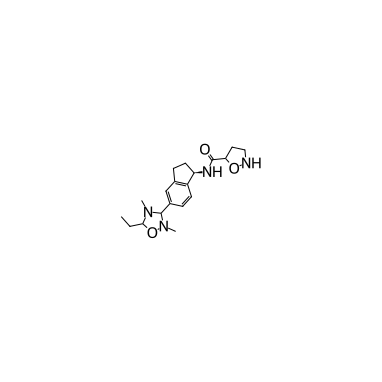 CCC1ON(C)C(c2ccc3c(c2)CC[C@H]3NC(=O)C2CCNO2)N1C